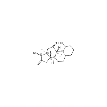 C=C1C[C@H]2[C@@H]3CCC4CCCC(O)[C@]4(C)[C@H]3C(=O)C[C@]2(C)[C@@H]1C(C)=O